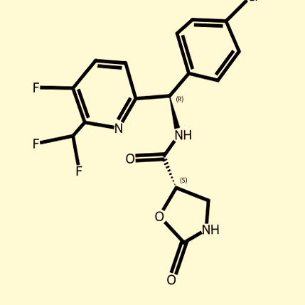 O=C1NC[C@@H](C(=O)N[C@H](c2ccc(Cl)cc2)c2ccc(F)c(C(F)F)n2)O1